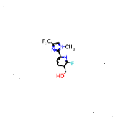 Cn1cc(C(F)(F)F)nc1-c1ccc(CO)c(F)n1